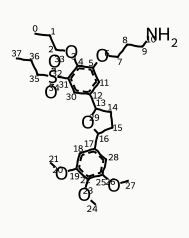 CCCOc1c(OCCCN)cc(C2CCC(c3cc(OC)c(OC)c(OC)c3)O2)cc1S(=O)(=O)CCC